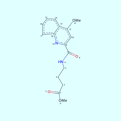 COC(=O)CCCNC(=O)c1cc(OC)c2ccccc2n1